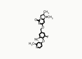 Cc1cc(Oc2c(F)cc(COc3cc4n(c(=O)n3)C[C@@H](C)N4C)cc2C#N)ccn1